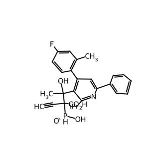 C#CC(C(=O)O)([PH](=O)O)C(C)(O)c1c(-c2ccc(F)cc2C)cc(-c2ccccc2)nc1C(C)C